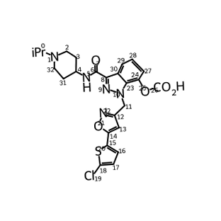 CC(C)N1CCC(NC(=O)c2nn(Cc3cc(-c4ccc(Cl)s4)on3)c3c(OC(=O)O)cccc23)CC1